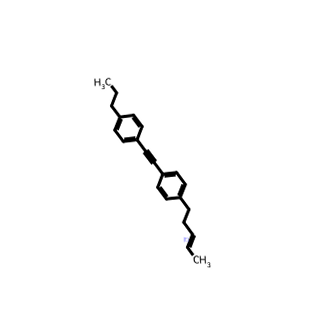 C/C=C/CCc1ccc(C#Cc2ccc(CCC)cc2)cc1